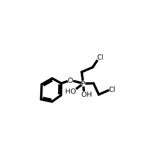 OP(O)(CCCl)(CCCl)Oc1ccccc1